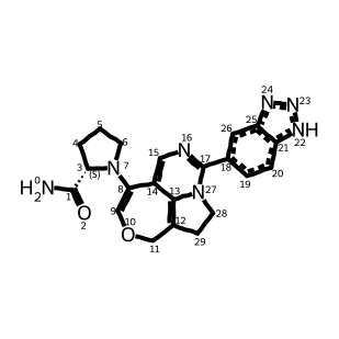 NC(=O)[C@@H]1CCCN1C1=COCC2=C3C1=CN=C(c1ccc4[nH]nnc4c1)N3CC2